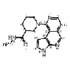 CCCNC(=O)C1CCCN(c2ncnc3cnc4[nH]ccc4c23)C1